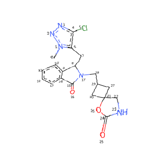 Cn1nnc(Cl)c1CC1c2ccccc2C(=O)N1CC1CC2(CNC(=O)O2)C1